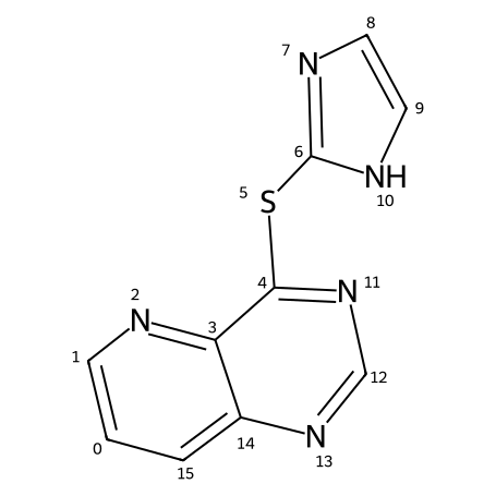 c1cnc2c(Sc3ncc[nH]3)ncnc2c1